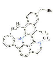 Cc1c2cc(CC(C)(C)C)ccc2c(C)c2c1c1c3c(ccc4c5cccc(C(C)(C)C)c5n2c43)cc[n+]1C